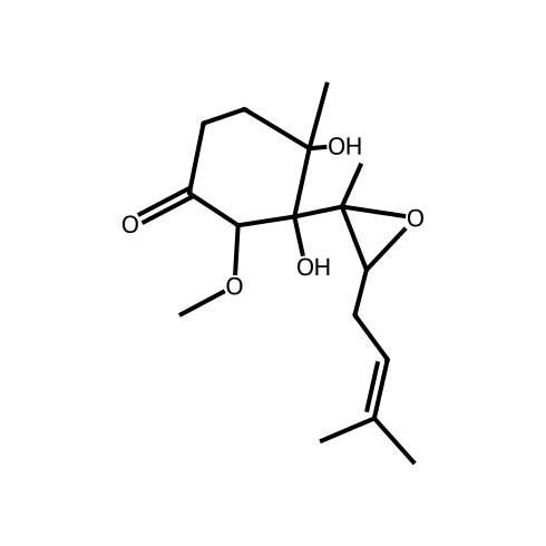 COC1C(=O)CCC(C)(O)C1(O)C1(C)OC1CC=C(C)C